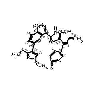 C=C/C=C(/c1ccc(F)cc1)c1nc(-c2n[nH]c3ccc(-c4cn(C)nc4CC)nc23)[nH]c1C